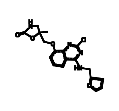 CC1(COc2cccc3c(NCc4ccco4)nc(Cl)nc23)CNC(=O)O1